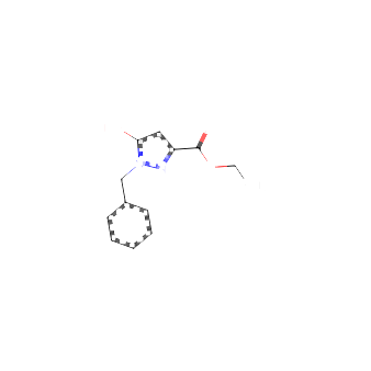 CCOC(=O)c1cc(O)n(Cc2ccccc2)n1